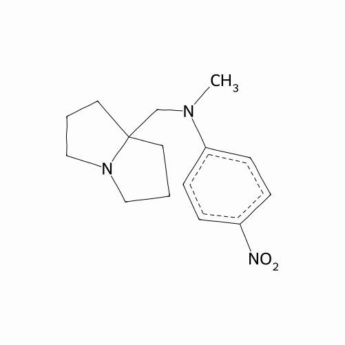 CN(CC12CCCN1CCC2)c1ccc([N+](=O)[O-])cc1